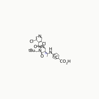 C/C(NC12CCC(C(=O)O)(CC1)CC2)=C(/C=N)C(=O)N(CC(=O)c1c(Cl)cncc1Cl)CC(C)(C)C